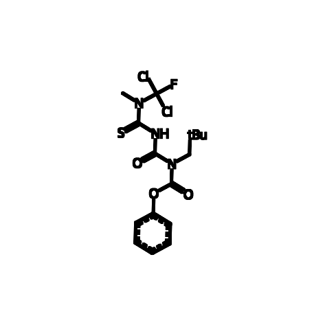 CN(C(=S)NC(=O)N(CC(C)(C)C)C(=O)Oc1ccccc1)C(F)(Cl)Cl